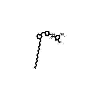 CCCCCCCCCCCCCCCC1C=CC=C(CC2=CC=C(NC(=O)C3=CC(N)=CC(N)C3)CC2)C1